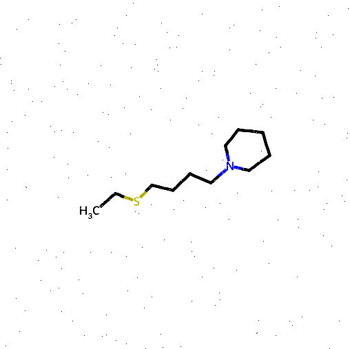 CCSCCCCN1CCCCC1